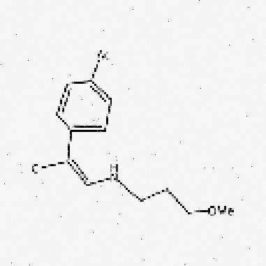 COCCCN/C=C(/Cl)c1ccc(C(C)=O)cc1